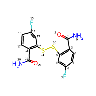 NC(=O)c1ccc(F)cc1SSc1cc(F)ccc1C(N)=O